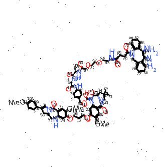 COc1ccc(C2=CN3C(=O)c4cc(OC)c(OCCCOc5cc6c(cc5OC)C(=O)N5CC7(CC7)C[C@H]5[C@H](O)N6C(=O)OCc5ccc(NC(=O)[C@H](C)NC(=O)[C@@H](NC(=O)COCCOCCNC(=O)CCC(=O)N6Cc7ccccc7/C(N)=C(/N)c7ccccc76)C(C)C)cc5)cc4NCC3C2)cc1